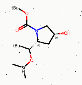 C[SiH](C)OC([C@H]1C[C@H](O)CN1C(=O)OC(C)(C)C)C(C)(C)C